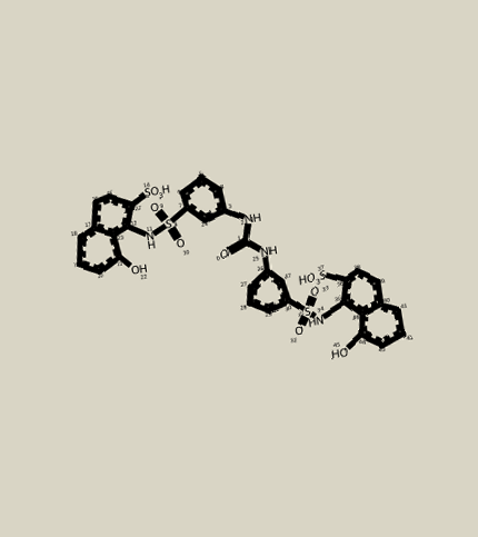 O=C(Nc1cccc(S(=O)(=O)Nc2c(S(=O)(=O)O)ccc3cccc(O)c23)c1)Nc1cccc(S(=O)(=O)Nc2c(S(=O)(=O)O)ccc3cccc(O)c23)c1